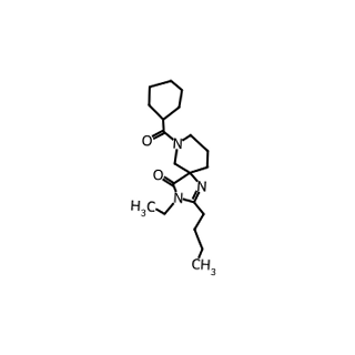 CCCCC1=NC2(CCCN(C(=O)C3CCCCC3)C2)C(=O)N1CC